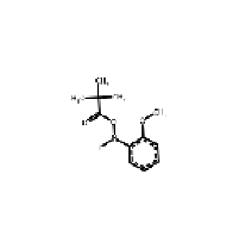 COc1ccccc1N(I)OC(=O)C(C)(C)C